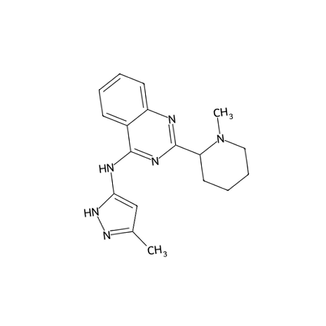 Cc1cc(Nc2nc(C3CCCCN3C)nc3ccccc23)[nH]n1